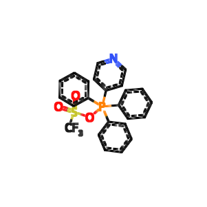 O=S(=O)(OP(c1ccccc1)(c1ccccc1)(c1ccccc1)c1ccncc1)C(F)(F)F